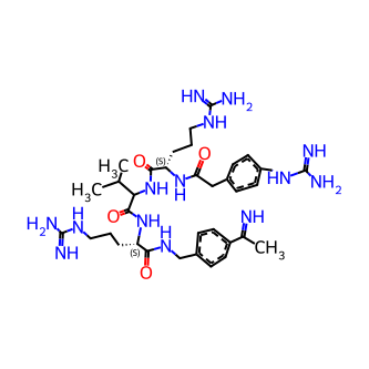 CC(=N)c1ccc(CNC(=O)[C@H](CCCNC(=N)N)NC(=O)C(NC(=O)[C@H](CCCNC(=N)N)NC(=O)Cc2ccc(CNC(=N)N)cc2)C(C)C)cc1